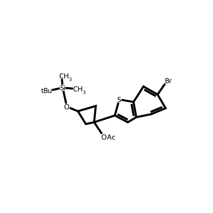 CC(=O)OC1(c2cc3ccc(Br)cc3s2)CC(O[Si](C)(C)C(C)(C)C)C1